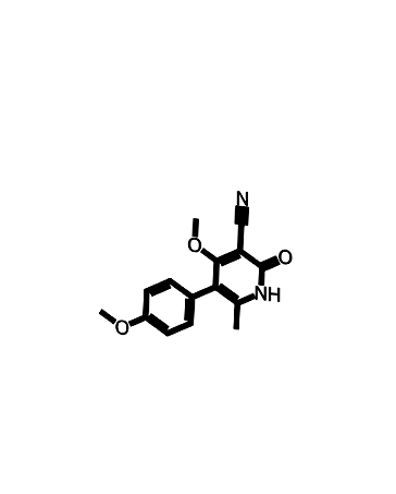 COc1ccc(-c2c(C)[nH]c(=O)c(C#N)c2OC)cc1